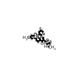 CC[C@H](NC(=O)c1cn(-c2ncc(F)cc2F)c2nc(N3CC(C)CC3=O)ccc2c1=O)C(F)(F)F